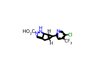 O=C(O)N1C=C2C[C@H]3C(c4cc(C(F)(F)F)c(Cl)cn4)[C@@H]3C2N1